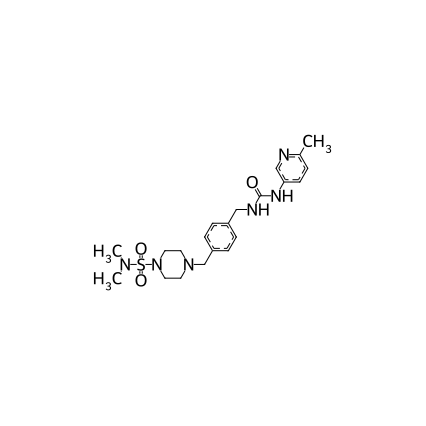 Cc1ccc(NC(=O)NCc2ccc(CN3CCN(S(=O)(=O)N(C)C)CC3)cc2)cn1